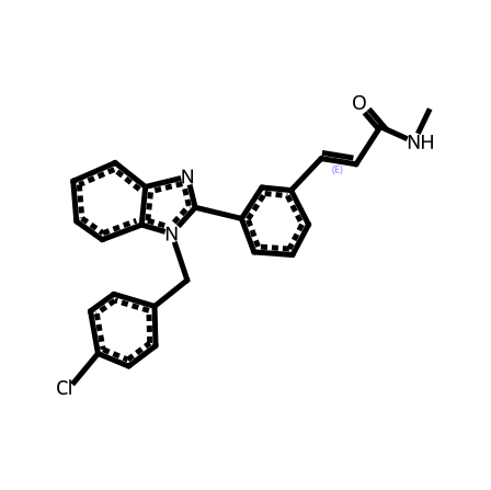 CNC(=O)/C=C/c1cccc(-c2nc3ccccc3n2Cc2ccc(Cl)cc2)c1